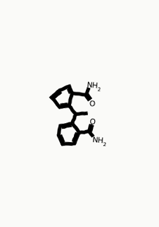 CC(c1ccccc1C(N)=O)c1ccccc1C(N)=O